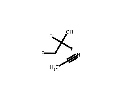 CC#N.OC(F)(F)CF